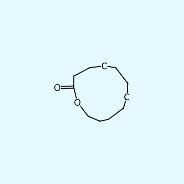 O=C1CCCCCCCCCCO1